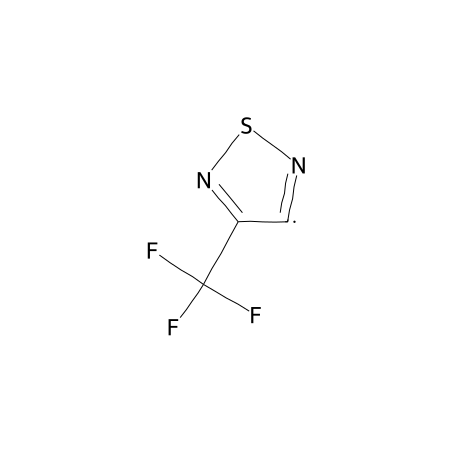 FC(F)(F)c1[c]nsn1